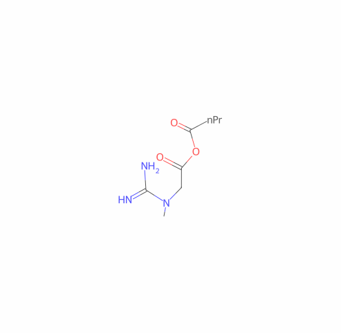 CCCC(=O)OC(=O)CN(C)C(=N)N